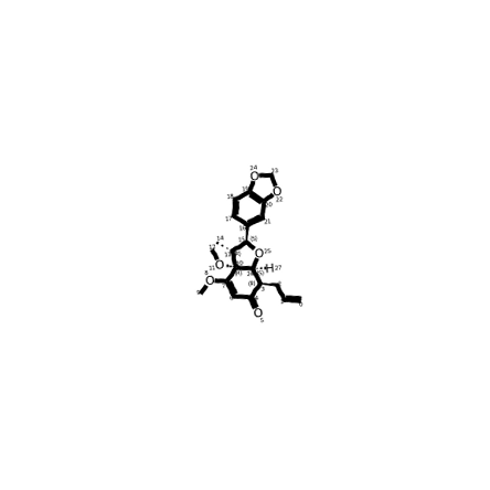 C=CC[C@H]1C(=O)C=C(OC)[C@@]2(OC)[C@H](C)[C@@H](c3ccc4c(c3)OCO4)O[C@@H]12